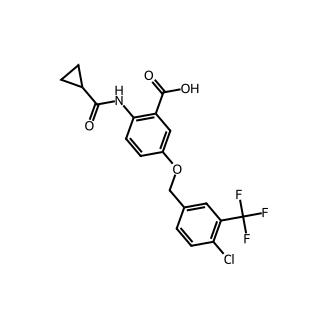 O=C(O)c1cc(OCc2ccc(Cl)c(C(F)(F)F)c2)ccc1NC(=O)C1CC1